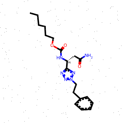 CCCCCCOC(=O)N[C@H](CC(N)=O)c1nnn(CCc2ccccc2)n1